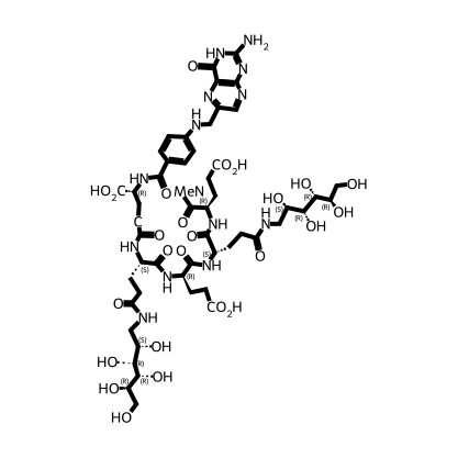 CNC(=O)[C@@H](CCC(=O)O)NC(=O)[C@H](CCC(=O)NC[C@H](O)[C@@H](O)[C@H](O)[C@H](O)CO)NC(=O)[C@@H](CCC(=O)O)NC(=O)[C@H](CCC(=O)NC[C@H](O)[C@@H](O)[C@H](O)[C@H](O)CO)NC(=O)CC[C@@H](NC(=O)c1ccc(NCc2cnc3nc(N)[nH]c(=O)c3n2)cc1)C(=O)O